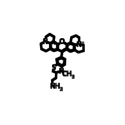 CN1c2ccc(C3=c4cc5c6c(c4Oc4c3cc3c7c4CCCN7CCC3)CCC[N+]=6CCC5)cc2SCC1CCN